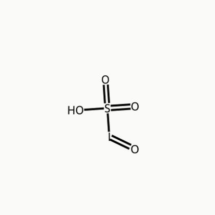 O=IS(=O)(=O)O